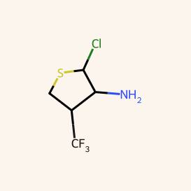 NC1C(Cl)SCC1C(F)(F)F